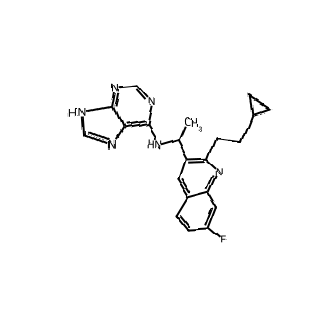 CC(Nc1ncnc2[nH]cnc12)c1cc2ccc(F)cc2nc1CCC1CC1